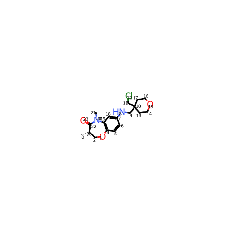 C[C@H]1COc2ccc(NCC3(CCl)CCOCC3)cc2N(C)C1=O